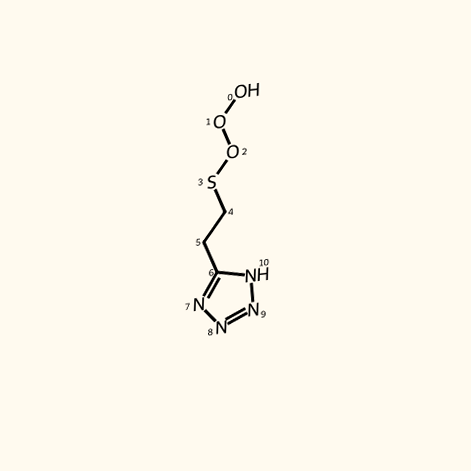 OOOSCCc1nnn[nH]1